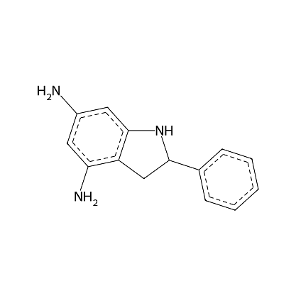 Nc1cc(N)c2c(c1)NC(c1ccccc1)C2